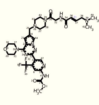 COC(=O)Nc1cc(C(F)(F)F)c(-c2nc(N3CCOCC3)c3cc(CN4CCN(C(=O)CNC(=O)/C=C/CN(C)C)CC4)cn3n2)cn1